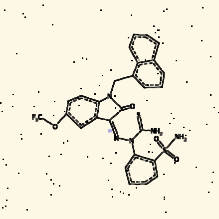 NC(=S)N(/N=C1\C(=O)N(Cc2cccc3ccccc23)c2ccc(OC(F)(F)F)cc21)c1ccccc1S(N)(=O)=O